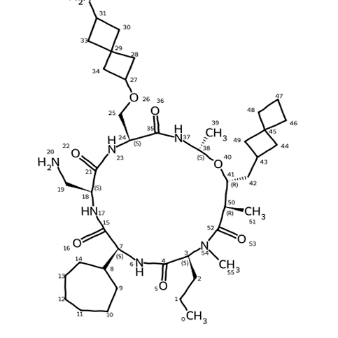 CCC[C@H]1C(=O)N[C@@H](C2CCCCCC2)C(=O)N[C@@H](CN)C(=O)N[C@@H](COC2CC3(CC(N)C3)C2)C(=O)N[C@H](C)O[C@H](CC2CC3(CCC3)C2)[C@@H](C)C(=O)N1C